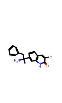 CCc1cc2ccc(C(C)(N)Cc3ccccc3)cc2[nH]c1=O